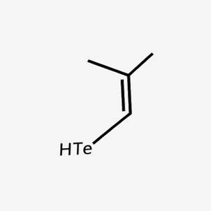 CC(C)=C[TeH]